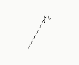 CCCCCCCCCCCCCCCCCCCCOCCN